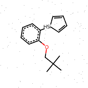 CC(C)(C)COc1ccccc1[SiH]1C=CC=C1